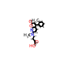 Cc1ccccc1-c1cc(=O)oc2nc(N(C)CCC3OC3O)ccc12